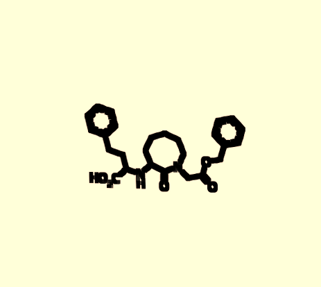 O=C(CN1CCCCCC(NC(CCc2ccccc2)C(=O)O)C1=O)OCc1ccccc1